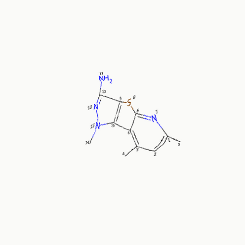 Cc1cc(C)c2c(n1)sc1c(N)nn(C)c12